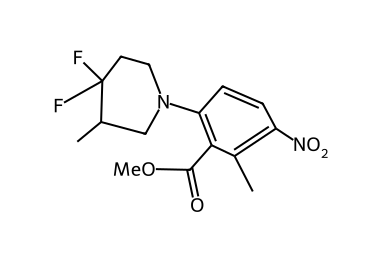 COC(=O)c1c(N2CCC(F)(F)C(C)C2)ccc([N+](=O)[O-])c1C